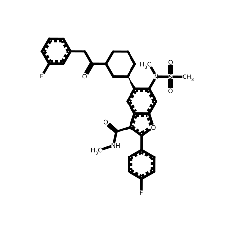 CNC(=O)c1c(-c2ccc(F)cc2)oc2cc(N(C)S(C)(=O)=O)c([C@@H]3CCCC(C(=O)Cc4cccc(F)c4)C3)cc12